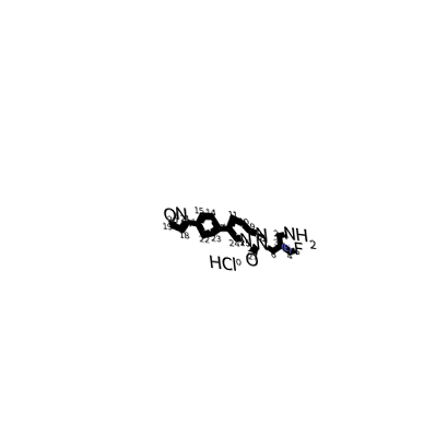 Cl.NC/C(=C\F)Cn1nc2ccc(-c3ccc(-c4ccon4)cc3)cn2c1=O